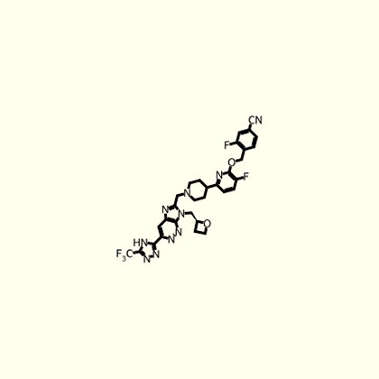 N#Cc1ccc(COc2nc(C3CCN(Cc4nc5cc(-c6nnc(C(F)(F)F)[nH]6)nnc5n4C[C@@H]4CCO4)CC3)ccc2F)c(F)c1